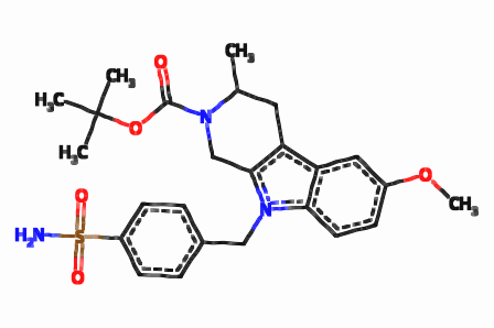 COc1ccc2c(c1)c1c(n2Cc2ccc(S(N)(=O)=O)cc2)CN(C(=O)OC(C)(C)C)C(C)C1